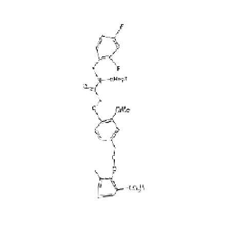 CCCCCCCN(Cc1ccc(F)cc1F)C(=O)COc1ccc(CCOc2c(C)cccc2C(=O)O)cc1OC